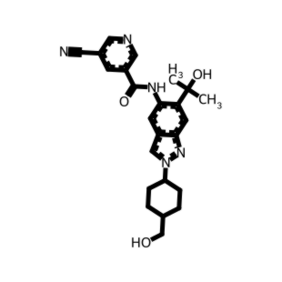 CC(C)(O)c1cc2nn(C3CCC(CO)CC3)cc2cc1NC(=O)c1cncc(C#N)c1